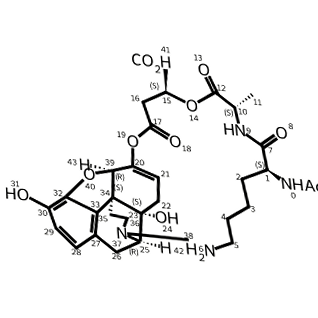 CC(=O)N[C@@H](CCCCN)C(=O)N[C@@H](C)C(=O)O[C@@H](CC(=O)OC1=CC[C@@]2(O)[C@H]3Cc4ccc(O)c5c4[C@@]2(CCN3C)[C@H]1O5)C(=O)O